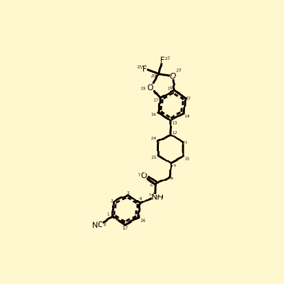 N#Cc1ccc(NC(=O)CC2CCC(c3ccc4c(c3)OC(F)(F)O4)CC2)cc1